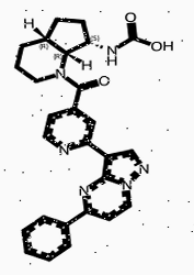 O=C(O)N[C@H]1CC[C@H]2CCCN(C(=O)c3ccnc(-c4cnn5ccc(-c6ccccc6)nc45)c3)[C@H]21